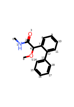 CNC(=O)C(OC)c1ccccc1-c1ccccc1